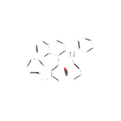 c1ccc(N(c2ccccc2)c2ccc3ccccc3c2-c2cccc3oc4ccccc4c23)cc1